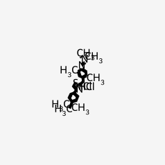 CCN(C)C=Nc1cc(C)c(Cc2nc(-c3ccc(C(C)(C)C)cc3)cs2)cc1C.Cl.Cl